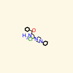 NC(CC(Cl)N1CCN(c2ccccc2)CC1)C(=O)c1ccccc1